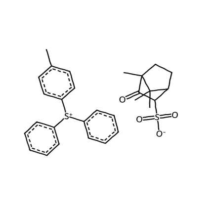 CC12CCC(C(S(=O)(=O)[O-])C1=O)C2(C)C.Cc1ccc([S+](c2ccccc2)c2ccccc2)cc1